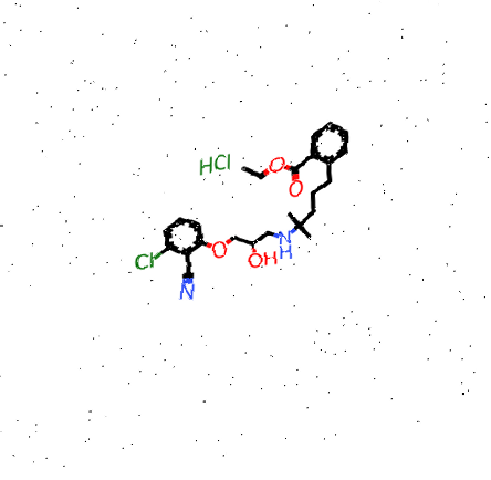 CCOC(=O)c1ccccc1CCCC(C)(C)NC[C@@H](O)COc1cccc(Cl)c1C#N.Cl